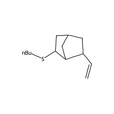 C=CC1CC2CC(SCCCC)C1C2